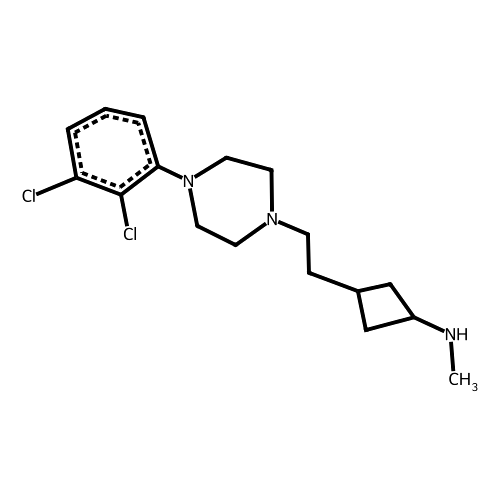 CNC1CC(CCN2CCN(c3cccc(Cl)c3Cl)CC2)C1